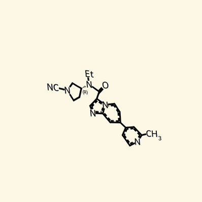 CCN(C(=O)c1cnc2cc(-c3ccnc(C)c3)ccn12)[C@@H]1CCN(C#N)C1